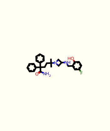 CC(C)(CCC(C(N)=O)(c1ccccc1)c1ccccc1)N1CC(NCc2cc(F)ccc2O)C1